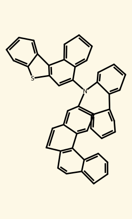 c1ccc(-c2ccccc2N(c2ccc3c(ccc4ccc5ccccc5c43)c2)c2cc3sc4ccccc4c3c3ccccc23)cc1